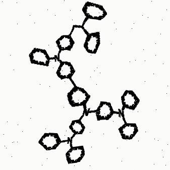 c1ccc(C(Cc2ccc(N(c3ccccc3)c3ccc(-c4ccc(N(c5ccc(N(c6ccccc6)c6ccccc6)cc5)c5ccc(N(c6ccccc6)c6ccccc6)cc5)cc4)cc3)cc2)c2ccccc2)cc1